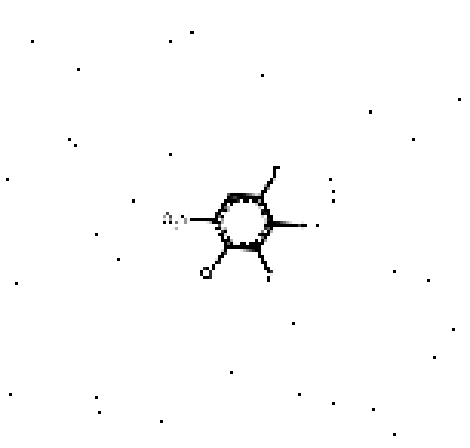 O=[N+]([O-])c1cc(F)c(F)c(F)c1Cl